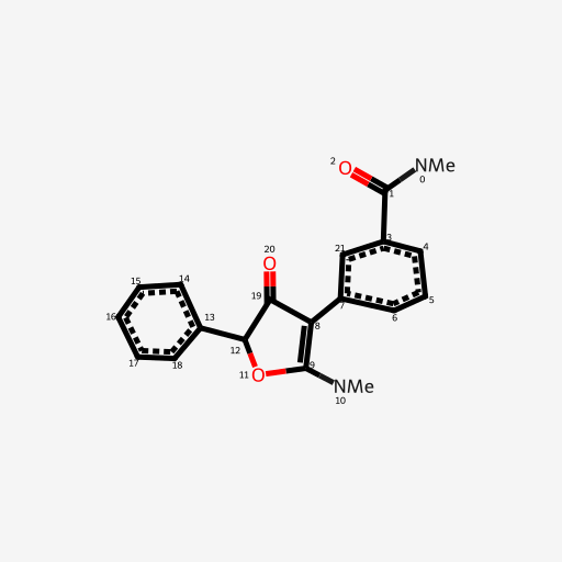 CNC(=O)c1cccc(C2=C(NC)OC(c3ccccc3)C2=O)c1